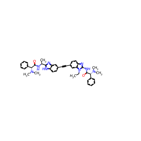 CCn1c(NC(=O)[C@@H](c2ccccc2)N(C)C)nc2ccc(C#Cc3ccc4[nH]c([C@H](C)NC(=O)[C@@H](c5ccccc5)N(C)C)nc4c3)cc21